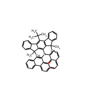 CC(C)(C)c1c2c(c(N(c3cccc4ccccc34)c3cc4ccccc4c4ccccc34)c3c1-c1ccccc1C3(C)C)C(C)(C)c1ccccc1-2